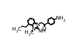 CCCc1cccc2c1n(C)c(=N)n2CC(=O)c1ccc(N)cc1